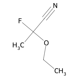 CCOC(C)(F)C#N